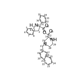 NC(Cc1ccccc1)(C(=O)OC(=O)C1CN(Cc2ccc3ccccc3c2)CCN1)c1ccccc1